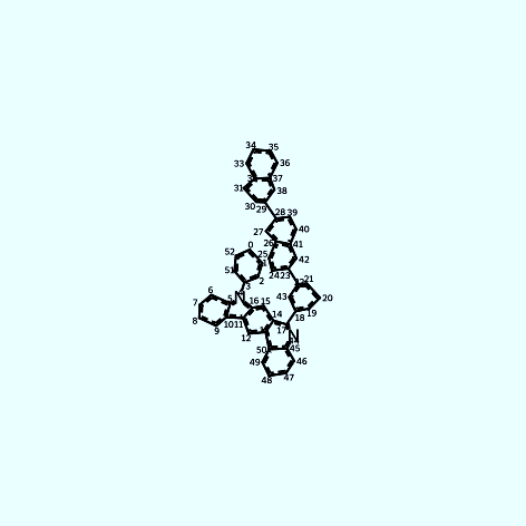 c1ccc(-n2c3ccccc3c3cc4c(cc32)c(-c2cccc(-c3ccc5cc(-c6ccc7ccccc7c6)ccc5c3)c2)nc2ccccc24)cc1